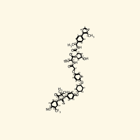 Cc1ncsc1-c1ccc([C@H](C)NC(=O)[C@@H]2C[C@@H](O)CN2C(=O)C(NC(=O)COc2ccc(O[C@H]3CC[C@H](Oc4ccc(N5C(=S)N(c6ccc(C#N)c(C(F)(F)F)c6)C(=O)C5(C)C)cc4)CC3)nc2)C(C)(C)C)cc1